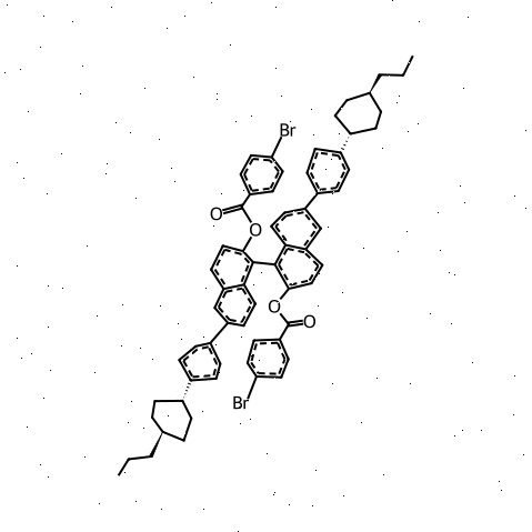 CCC[C@H]1CC[C@H](c2ccc(-c3ccc4c(-c5c(OC(=O)c6ccc(Br)cc6)ccc6cc(-c7ccc([C@H]8CC[C@H](CCC)CC8)cc7)ccc56)c(OC(=O)c5ccc(Br)cc5)ccc4c3)cc2)CC1